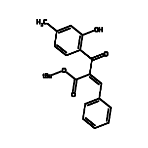 Cc1ccc(C(=O)C(=Cc2ccccc2)C(=O)OC(C)(C)C)c(O)c1